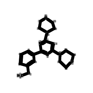 COc1cccc(-c2nc(N3CCOCC3)nc(N3CCOCC3)n2)c1